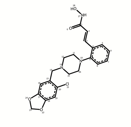 O=C(C=Cc1ccccc1N1CCN(Cc2cc3c(cc2Cl)OCO3)CC1)NO